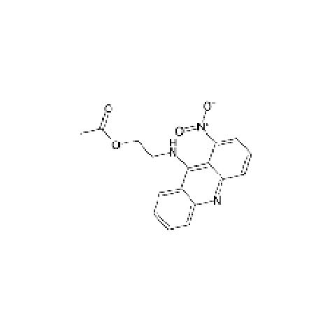 CC(=O)OCCNc1c2ccccc2nc2cccc([N+](=O)[O-])c12